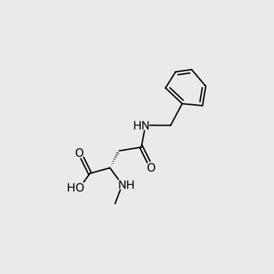 CN[C@@H](CC(=O)NCc1ccccc1)C(=O)O